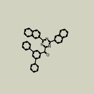 O=C(c1cc(-c2ccccc2)cc(-c2ccccc2)c1)c1nc(-c2ccc3ccccc3c2)nc(-c2ccc3ccccc3c2)n1